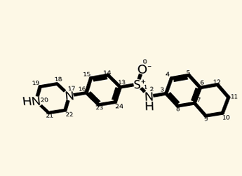 [O-][S+](Nc1ccc2c(c1)CCCC2)c1ccc(N2CCNCC2)cc1